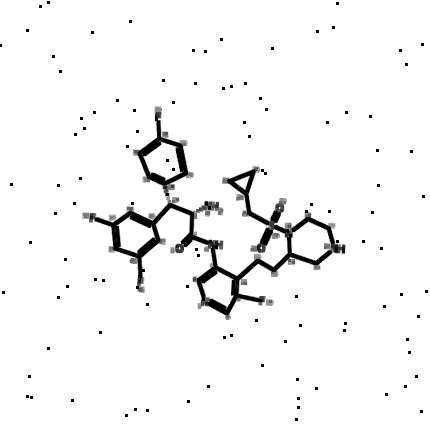 N[C@H](C(=O)Nc1cncc(F)c1CCC1CNCCN1S(=O)(=O)CC1CC1)[C@@H](c1ccc(F)cc1)c1cc(F)cc(F)c1